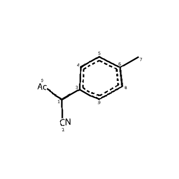 CC(=O)C(C#N)c1ccc(C)cc1